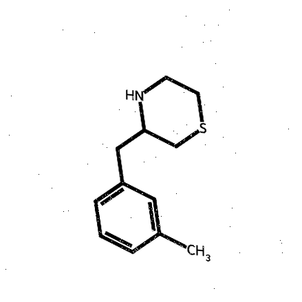 Cc1cccc(CC2CSCCN2)c1